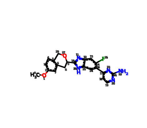 COc1ccc2c(c1)CC(c1nc3cc(F)c(-c4ccnc(N)n4)cc3[nH]1)OC2